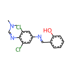 CN(C)/C=N\c1c(Cl)cc(/N=C/c2ccccc2O)cc1Cl